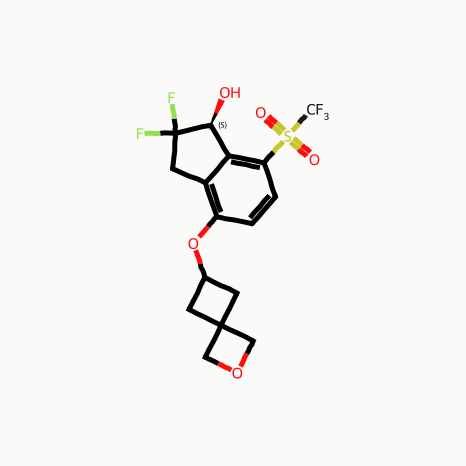 O=S(=O)(c1ccc(OC2CC3(COC3)C2)c2c1[C@H](O)C(F)(F)C2)C(F)(F)F